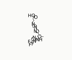 Cc1cc(Nc2nccc(C(F)(F)F)n2)cc(-c2ccc(N3CCN(CCCC(=O)O)CC3)nc2)c1